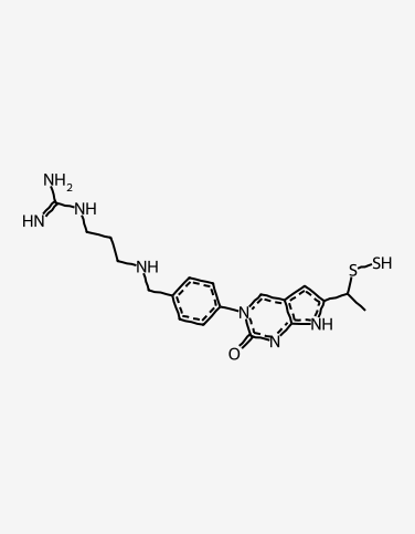 CC(SS)c1cc2cn(-c3ccc(CNCCCNC(=N)N)cc3)c(=O)nc2[nH]1